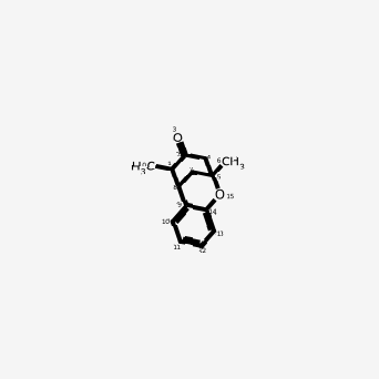 CC1C(=O)CC2(C)CC1c1ccccc1O2